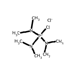 CN(C)[P+](Cl)(N(C)C)N(C)C.[Cl-]